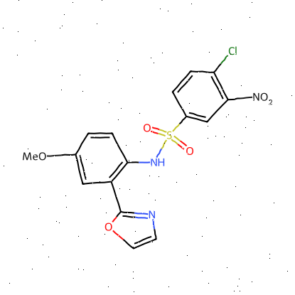 COc1ccc(NS(=O)(=O)c2ccc(Cl)c([N+](=O)[O-])c2)c(-c2ncco2)c1